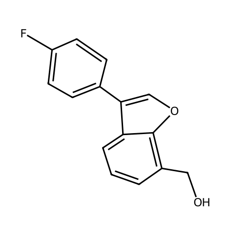 OCc1cccc2c(-c3ccc(F)cc3)coc12